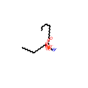 CC/C=C\C/C=C\C/C=C\CCCCCCCC(=O)OC[C@H](COP(=O)([O-])OCC[N+](C)(C)C)OC(=O)CCCCCCC/C=C\CCCCCCCCC